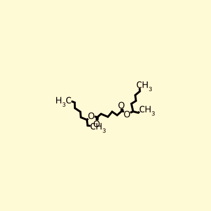 CCCCCC(CC)OC(=O)CCCCC(=O)OC(CC)CCCCC